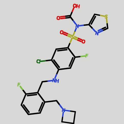 O=C(O)N(c1cscn1)S(=O)(=O)c1cc(Cl)c(NCc2c(F)cccc2CN2CCC2)cc1F